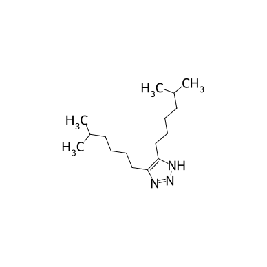 CC(C)CCCCc1nn[nH]c1CCCCC(C)C